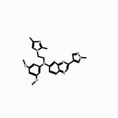 COc1cc(OC)cc(N(CCn2cc(C)nc2C)c2ccc3ncc(-c4cnn(C)c4)nc3c2)c1